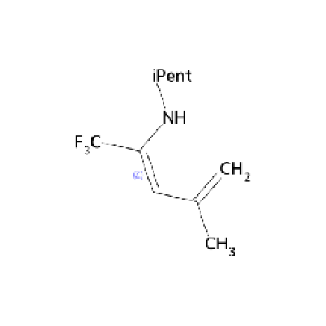 C=C(C)/C=C(\NC(C)CCC)C(F)(F)F